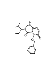 C=CC(C(C)C)N1CNn2ccc(=O)c(OCc3ccccc3)c2C1=O